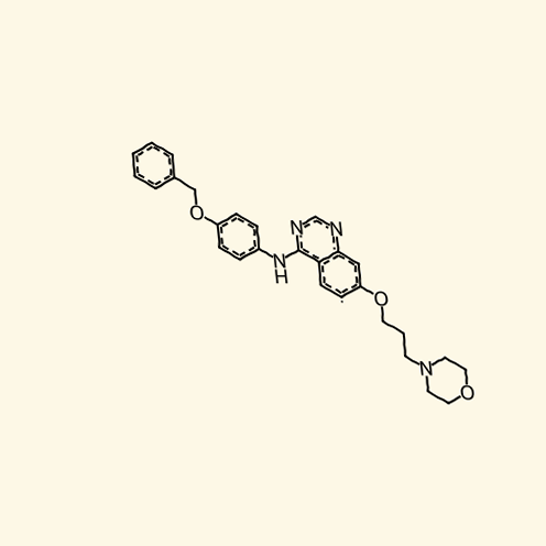 [c]1cc2c(Nc3ccc(OCc4ccccc4)cc3)ncnc2cc1OCCCN1CCOCC1